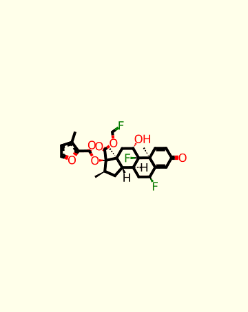 Cc1ccoc1C(=O)O[C@]1(C(=O)OCF)[C@H](C)C[C@H]2[C@@H]3C[C@H](F)C4=CC(=O)C=C[C@]4(C)[C@@]3(F)[C@@H](O)C[C@@]21C